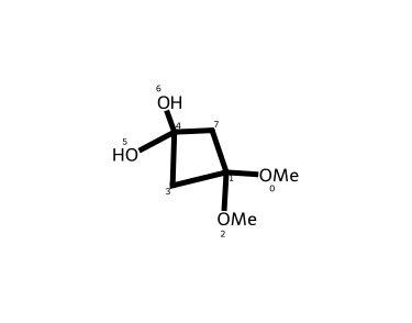 COC1(OC)CC(O)(O)C1